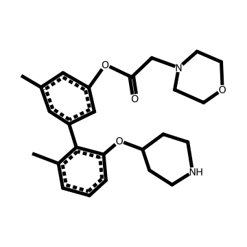 Cc1cc(OC(=O)CN2CCOCC2)cc(-c2c(C)cccc2OC2CCNCC2)c1